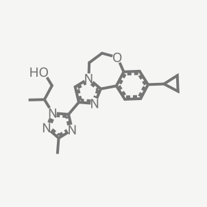 Cc1nc(-c2cn3c(n2)-c2ccc(C4CC4)cc2OCC3)n(C(C)CO)n1